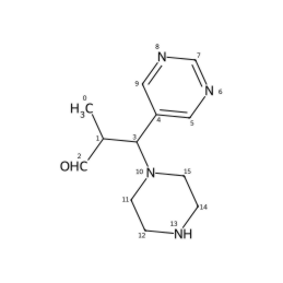 CC(C=O)C(c1cncnc1)N1CCNCC1